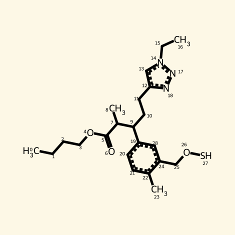 CCCCOC(=O)C(C)C(CCc1cn(CC)nn1)c1ccc(C)c(COS)c1